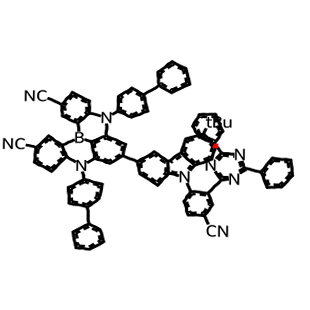 CC(C)(C)c1ccc2c(c1)c1cc(-c3cc4c5c(c3)N(c3ccc(-c6ccccc6)cc3)c3ccc(C#N)cc3B5c3cc(C#N)ccc3N4c3ccc(-c4ccccc4)cc3)ccc1n2-c1ccc(C#N)cc1-c1nc(-c2ccccc2)nc(-c2ccccc2)n1